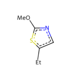 CCc1cnc(OC)s1